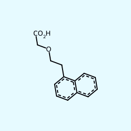 O=C(O)COCCc1cccc2ccccc12